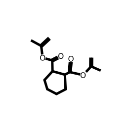 C=C(C)OC(=O)C1CCCCC1C(=O)OC(=C)C